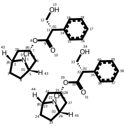 CN1[C@@H]2CC[C@H]1C[C@@H](OC(=O)[C@H](CO)c1ccccc1)C2.CN1[C@@H]2CC[C@H]1C[C@@H](OC(=O)[C@H](CO)c1ccccc1)C2